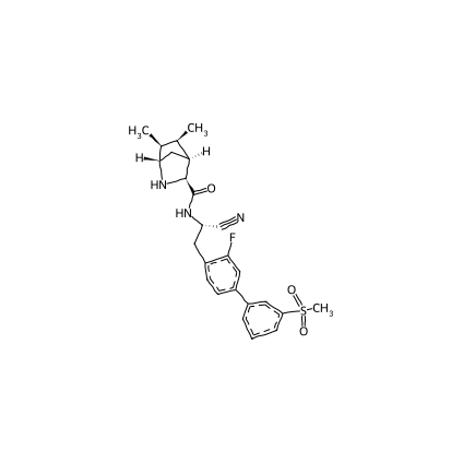 C[C@@H]1[C@H](C)[C@@H]2C[C@@H]1[C@@H](C(=O)N[C@H](C#N)Cc1ccc(-c3cccc(S(C)(=O)=O)c3)cc1F)N2